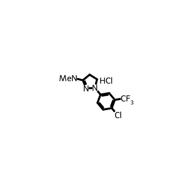 CNC1=NN(c2ccc(Cl)c(C(F)(F)F)c2)CC1.Cl